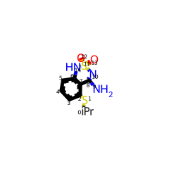 CC(C)Sc1cccc2c1C(N)=NS(=O)(=O)N2